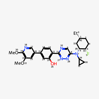 CC[C@@H]1CC[C@H](F)[C@H](N(c2cnc(-c3ccc(-c4cnc(OC)c(OC)c4)cc3O)nn2)C2CC2)C1